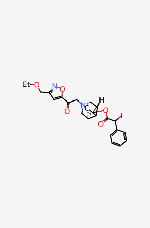 CCOCc1cc(C(=O)C[N+]23CCC(CC2)[C@@H](OC(=O)C(I)c2ccccc2)C3)on1